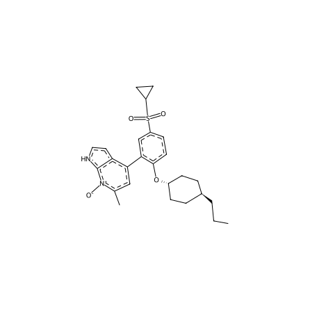 CCC[C@H]1CC[C@H](Oc2ccc(S(=O)(=O)C3CC3)cc2-c2cc(C)[n+]([O-])c3[nH]ccc23)CC1